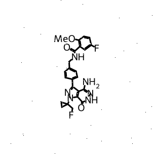 COc1ccc(F)cc1C(=O)NCc1ccc(-c2nn(C3(CF)CC3)c3c(=O)[nH]nc(N)c23)cc1